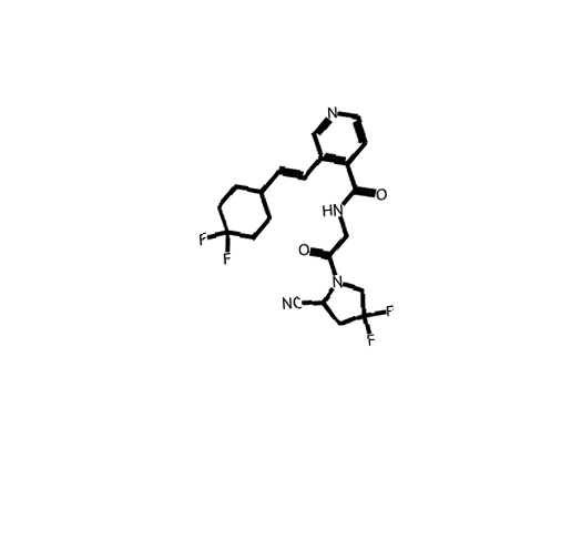 N#CC1CC(F)(F)CN1C(=O)CNC(=O)c1ccncc1C=CC1CCC(F)(F)CC1